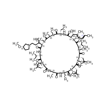 C/C=C/C[C@@H](C)[C@@H](O)[C@H]1C(=O)N[C@@H](CC)C(=O)N(C)[C@H](C)C(=O)N(C)[C@@H]([C@H](C)CCN2CC[C@H](OC)C2)C(=O)N[C@@H](C(C)C)C(=O)N(C)[C@@H](CC(C)C)C(=O)N[C@@H](C)C(=O)N[C@H](C)C(=O)N(C)[C@@H](CC(C)C)C(=O)N(C)[C@@H](CC(C)C)C(=O)N(C)[C@@H](C(C)C)C(=O)N1C